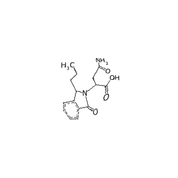 CCCC1c2ccccc2C(=O)N1C(CC(N)=O)C(=O)O